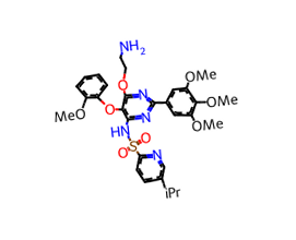 COc1ccccc1Oc1c(NS(=O)(=O)c2ccc(C(C)C)cn2)nc(-c2cc(OC)c(OC)c(OC)c2)nc1OCCN